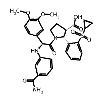 COc1ccc([C@H](Nc2cccc(C(N)=O)c2)C(=O)N2CC[C@H](C(=O)O)[C@@H]2c2ccccc2S(=O)(=O)C2CC2)cc1OC